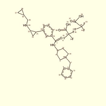 O=C(NC1CCN(Cc2ccccc2)CC1)c1cccc(C2CC2NCC2CC2)c1.O=C(O)C(F)(F)F.O=C(O)C(F)(F)F